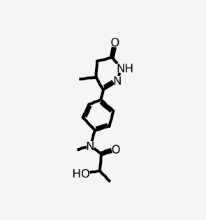 CC(O)C(=O)N(C)c1ccc(C2=NNC(=O)CC2C)cc1